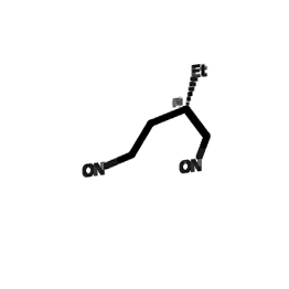 CC[C@@H](CCN=O)CN=O